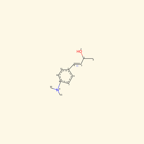 CC(O)/C=C/c1ccc(N(C)C)cc1